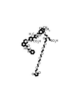 CCC1(Cn2ncc(-c3ccc(N4CCc5cccc(C(=O)Nc6nc7ccccc7s6)c5C4)nc3C(=O)O)c2C)CC2(C)CC(C)(C)CC(OCCN(CCS(=O)(=O)O)C(=O)CCOCCOCCOCCOCCOCCOCCN3C(=O)C=CC3=O)(C2)C1